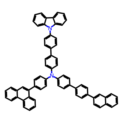 c1ccc2cc(-c3ccc(-c4ccc(N(c5ccc(-c6ccc(-n7c8ccccc8c8ccccc87)cc6)cc5)c5ccc(-c6cc7ccccc7c7ccccc67)cc5)cc4)cc3)ccc2c1